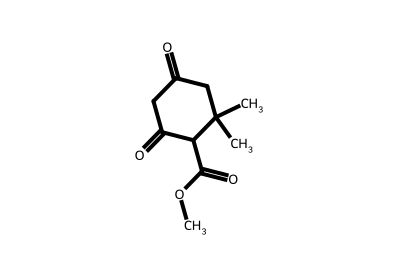 COC(=O)C1C(=O)CC(=O)CC1(C)C